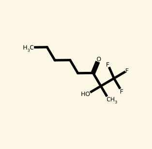 CCCCCC(=O)C(C)(O)C(F)(F)F